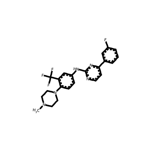 CN1CCN(c2ccc(Nc3nccc(-c4cccc(F)c4)n3)cc2C(F)(F)F)CC1